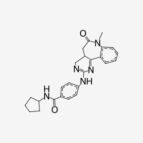 CN1C(=O)CC2CN=C(Nc3ccc(C(=O)NC4CCCC4)cc3)N=C2c2ccccc21